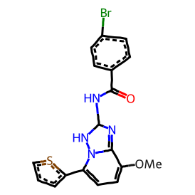 COC1=CC=C(c2cccs2)N2NC(NC(=O)c3ccc(Br)cc3)N=C12